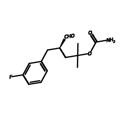 CC(C)(C[C@H](C=O)Cc1cccc(F)c1)OC(N)=O